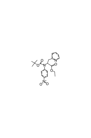 CCOC(=O)C(Cc1ccccn1)N(C(=O)OC(C)(C)C)c1ccc([N+](=O)[O-])cc1